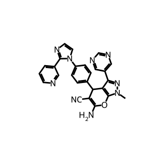 Cn1nc(-c2cncnc2)c2c1OC(N)=C(C#N)C2c1ccc(-n2ccnc2-c2cccnc2)cc1